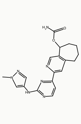 Cn1cc(Nc2nccc(-c3cc4c(cn3)C(OC(N)=O)CCCC4)n2)cn1